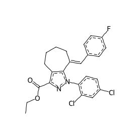 CCOC(=O)c1nn(-c2ccc(Cl)cc2Cl)c2c1CCCCC2=Cc1ccc(F)cc1